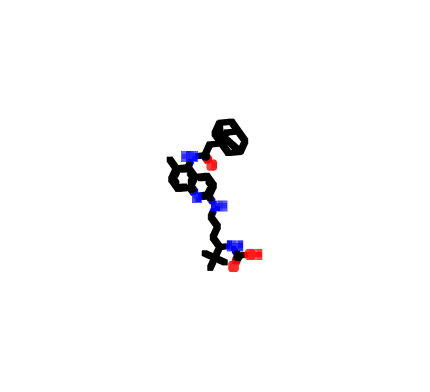 Cc1ccc2nc(NCCCC(NC(=O)O)C(C)(C)C)ccc2c1NC(=O)CC12CC3CC(CC(C3)C1)C2